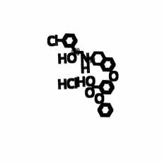 Cl.O=C(O)c1cc(Oc2ccc3c(c2)C[C@@H](NC[C@H](O)c2cccc(Cl)c2)CC3)ccc1Oc1ccccc1